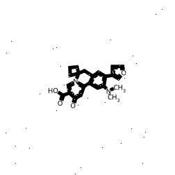 CN(C)c1cc2c(cc1-c1ccoc1)CC1(CCC1)n1cc(C(=O)O)c(=O)cc1-2